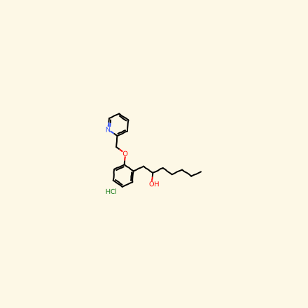 CCCCCC(O)Cc1ccccc1OCc1ccccn1.Cl